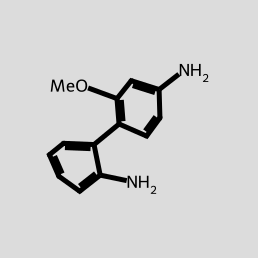 COc1cc(N)ccc1-c1ccccc1N